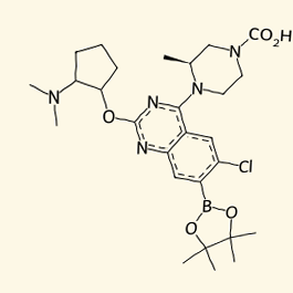 C[C@H]1CN(C(=O)O)CCN1c1nc(OC2CCCC2N(C)C)nc2cc(B3OC(C)(C)C(C)(C)O3)c(Cl)cc12